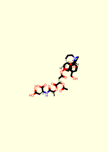 CC(=O)O[C@@H](CC(=O)OC1=CC[C@@]2(O)[C@H]3Cc4ccc(CO)c5c4[C@@]2(CCCN3C)[C@H]1O5)C(=O)O[C@@H](C)C(=O)N[C@@H](CC(=O)O)C(=O)O